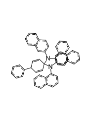 C1=CC(N(c2ccc3ccccc3c2)c2cccc3ccccc23)(N(c2ccc3ccccc3c2)c2cccc3ccccc23)C=CC1c1ccccc1